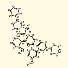 COc1ccc(C2(c3ccc(N4CCOCC4)cc3)C=Cc3c4c(c5cccc(OC)c5c3O2)-c2ccc(-c3ccccc3)cc2C4(C)C)cc1